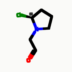 O=CCN1CCC[C@@H]1Cl